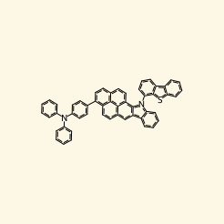 c1ccc(N(c2ccccc2)c2ccc(-c3ccc4ccc5c6c(ccc3c46)cc3c4ccccc4n(-c4cccc6c4sc4ccccc46)c35)cc2)cc1